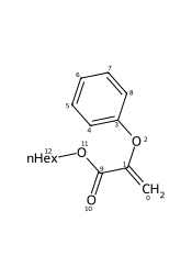 C=C(Oc1ccccc1)C(=O)OCCCCCC